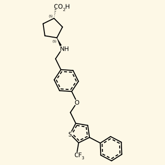 O=C(O)[C@H]1CC[C@H](NCc2ccc(OCc3cc(-c4ccccc4)c(C(F)(F)F)s3)cc2)C1